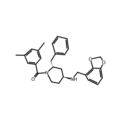 Cc1cc(C)cc(C(=O)N2CC[C@H](NCc3cccc4c3OCO4)C[C@H]2Cc2ccccc2)c1